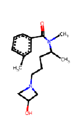 Cc1cccc(C(=O)N(C)C(C)CCCN2CC(O)C2)c1